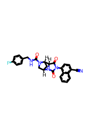 N#Cc1ccc(N2C(=O)[C@H]3[C@@H]4C[C@@H](CN4C(=O)NCc4ccc(F)cc4)N3C2=O)c2ccccc12